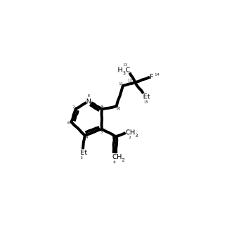 C=C(C)c1c(CC)ccnc1CCC(C)(F)CC